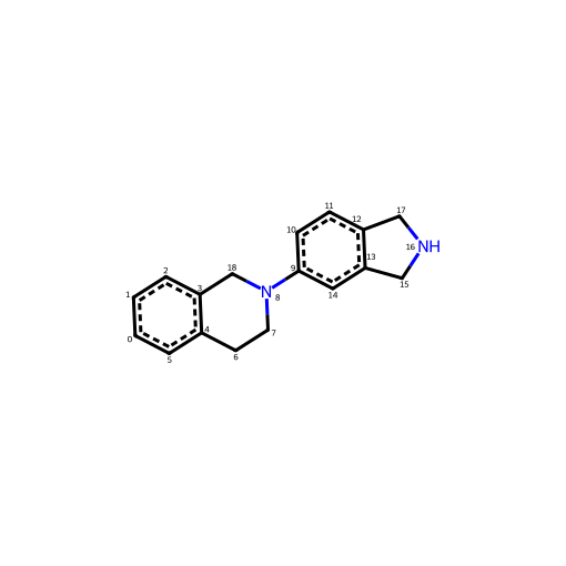 c1ccc2c(c1)CCN(c1ccc3c(c1)CNC3)C2